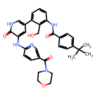 CC(C)(C)c1ccc(C(=O)Nc2cccc(-c3c[nH]c(=O)c(Nc4ccc(C(=O)N5CCOCC5)cn4)c3)c2CO)cc1